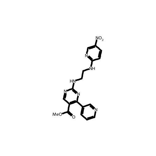 COC(=O)c1cnc(NCCNc2ccc([N+](=O)[O-])cn2)nc1-c1cccnc1